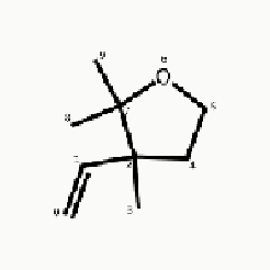 C=CC1(C)CCOC1(C)C